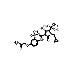 CC(C)(C)C1C(O)=C(C2=NP(=O)(O)c3cc(OCC(N)=O)ccc3N2)C(=O)N1CC1CC1